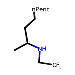 CCCCCCCC(C)NCC(F)(F)F